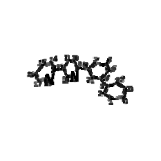 c1ccc(-c2cccc(-c3ccc(-c4ccccn4)cn3)c2)cc1